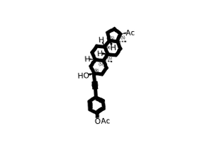 CC(=O)Oc1ccc(C#C[C@@]2(O)CC[C@@]3(C)[C@H](CC[C@@H]4[C@@H]3CC[C@]3(C)[C@@H](C(C)=O)CC[C@@H]43)C2)cc1